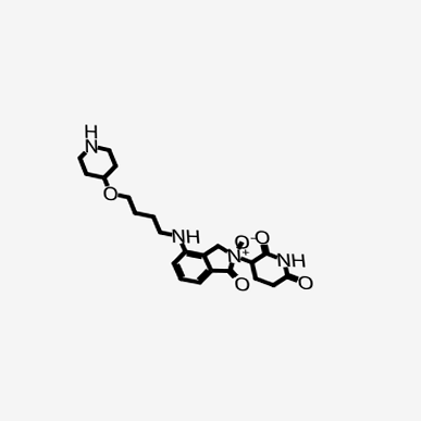 O=C1CCC([N+]2([O-])Cc3c(NCCCCOC4CCNCC4)cccc3C2=O)C(=O)N1